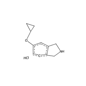 Cl.c1cc2c(cc1OC1CC1)CNC2